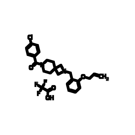 C=CCOc1ccccc1CN1CC2(CCN(C(=O)c3ccc(Cl)cc3)CC2)C1.O=C(O)C(F)(F)F